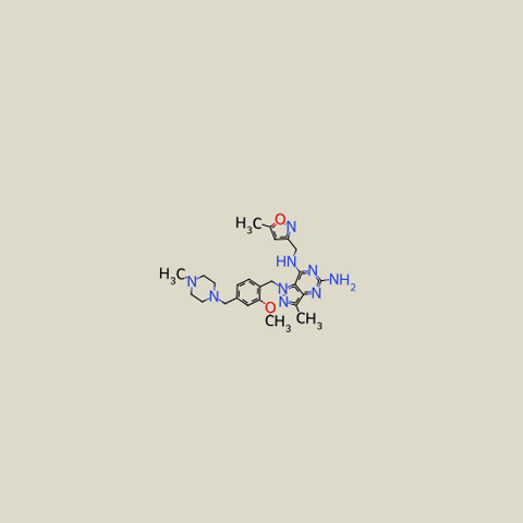 COc1cc(CN2CCN(C)CC2)ccc1Cn1nc(C)c2nc(N)nc(NCc3cc(C)on3)c21